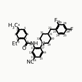 CCc1cc(C)ccc1C(=O)Nc1cc(C#N)ccc1N1CCC(Cc2ccc(F)cc2F)CC1